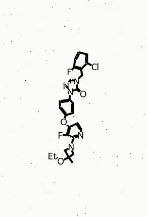 CCOC1(C)CN(c2nccc(Oc3ccc(-n4ncn(Cc5c(F)cccc5Cl)c4=O)cc3)c2F)C1